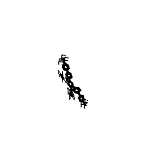 N#C/N=c1\c2cc(-c3ccc(C(F)(F)F)cc3)ccc2c2cc3c(cc12)/c(=N/C#N)c1cc(-c2ccc(C(F)(F)F)cc2)ccc13